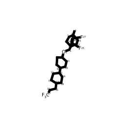 CC12CCC(COC3CCC(C4CCC(CCC(F)(F)F)CC4)CC3)(CC1)C(F)=C2F